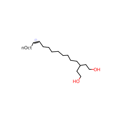 CCCCCCCC/C=C\CCCCCCCC[C](CCO)CCO